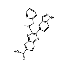 CN(Cc1ccccc1)c1nc2cc(C(=O)O)ccc2nc1-c1ccc2[nH]ncc2c1